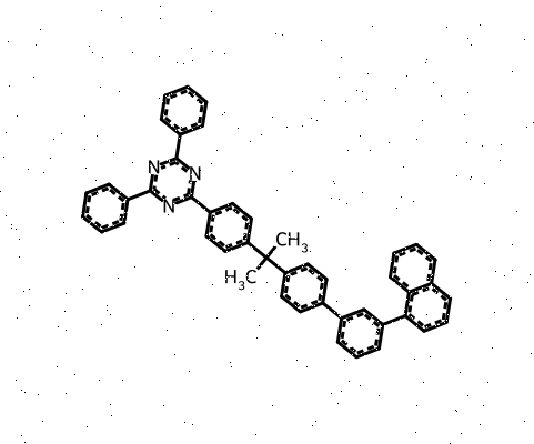 CC(C)(c1ccc(-c2cccc(-c3cccc4ccccc34)c2)cc1)c1ccc(-c2nc(-c3ccccc3)nc(-c3ccccc3)n2)cc1